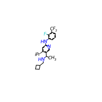 CC(C)c1cc(Nc2cccc(C(F)(F)F)c2F)ncc1C(C)NCC1CCC1